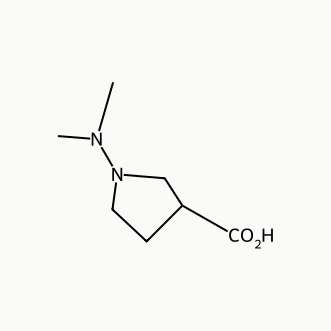 CN(C)N1CCC(C(=O)O)C1